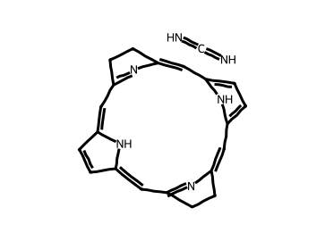 N=C=N.c1cc2cc3nc(cc4ccc(cc5nc(cc1[nH]2)CC5)[nH]4)CC3